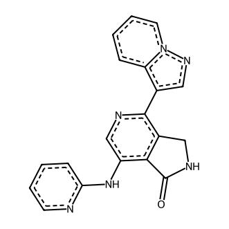 O=C1NCc2c(-c3cnn4ccccc34)ncc(Nc3ccccn3)c21